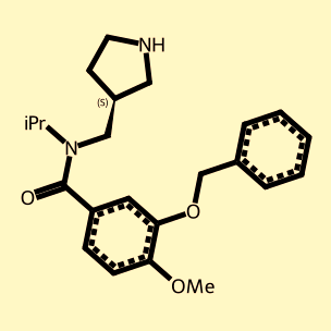 COc1ccc(C(=O)N(C[C@H]2CCNC2)C(C)C)cc1OCc1ccccc1